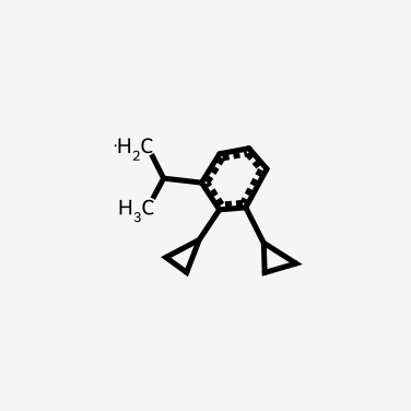 [CH2]C(C)c1cccc(C2CC2)c1C1CC1